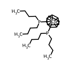 CCCCP(CCCC)[C]12[CH]3[CH]4[CH]5[C]1(P(CCCC)CCCC)[Co]43521678[CH]2[CH]1[CH]6[CH]7[CH]28